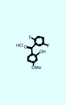 COc1ccc(C(=O)c2cc(F)ccc2F)c(O)c1.Cl